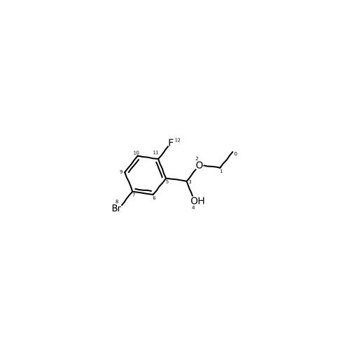 CCOC(O)c1cc(Br)ccc1F